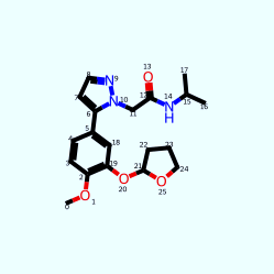 COc1ccc(-c2ccnn2CC(=O)NC(C)C)cc1OC1CCCO1